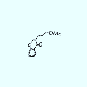 COCCCC1COc2ccccc2C1=O